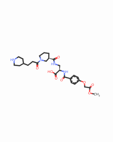 COC(=O)COc1ccc(C(=O)N[C@H](CNC(=O)[C@@H]2CCCN(C(=O)CCC3CCNCC3)C2)C(=O)O)cc1